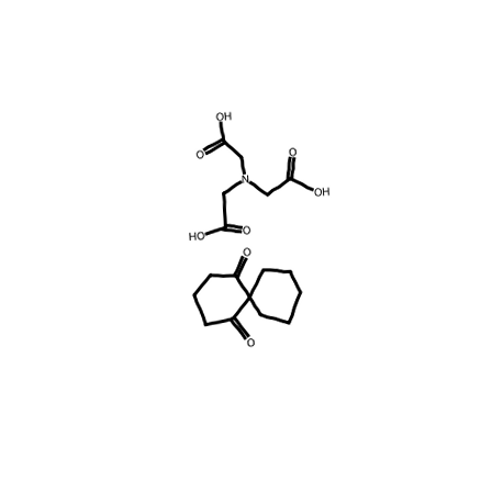 O=C(O)CN(CC(=O)O)CC(=O)O.O=C1CCCC(=O)C12CCCCC2